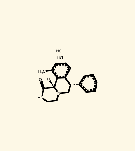 Cc1cccc2c1[C@H]1C(=O)NCCN1C[C@H]2c1ccccc1.Cl.Cl